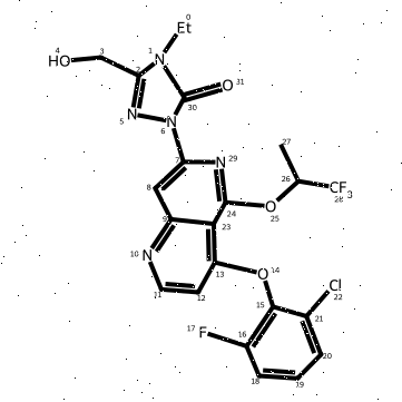 CCn1c(CO)nn(-c2cc3nccc(Oc4c(F)cccc4Cl)c3c(OC(C)C(F)(F)F)n2)c1=O